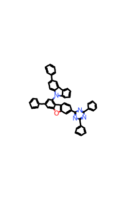 c1ccc(-c2cc(-n3c4ccccc4c4cc(-c5ccccc5)ccc43)c3c(c2)oc2cc(-c4nc(-c5ccccc5)nc(-c5ccccc5)n4)ccc23)cc1